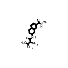 CC(C)C(N)C(=O)NC1CCc2ccc(C(=O)NO)cc2C1